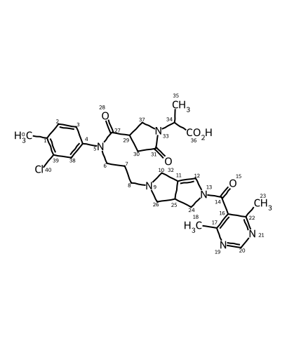 Cc1ccc(N(CCCN2CC3=CN(C(=O)c4c(C)ncnc4C)CC3C2)C(=O)C2CC(=O)N(C(C)C(=O)O)C2)cc1Cl